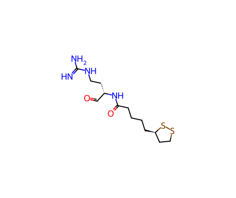 N=C(N)NCC[C@@H](C=O)NC(=O)CCCC[C@@H]1CCSS1